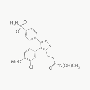 COc1ccc(-c2c(-c3ccc(S(N)(=O)=O)cc3)csc2CCC(=O)N(C)O)cc1Cl